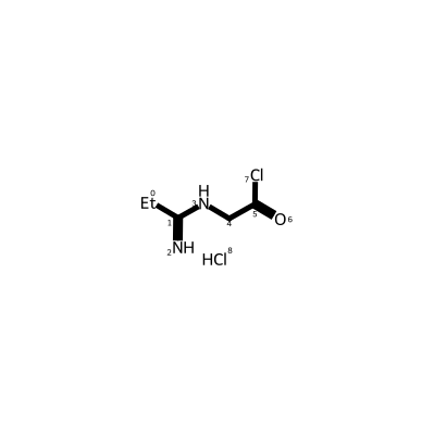 CCC(=N)NCC(=O)Cl.Cl